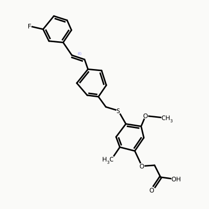 COc1cc(OCC(=O)O)c(C)cc1SCc1ccc(/C=C/c2cccc(F)c2)cc1